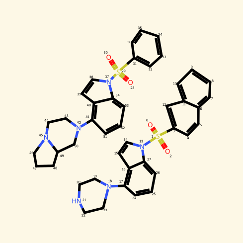 O=S(=O)(c1ccc2ccccc2c1)n1ccc2c(N3CCNCC3)cccc21.O=S(=O)(c1ccccc1)n1ccc2c(N3CCN4CCCC4C3)cccc21